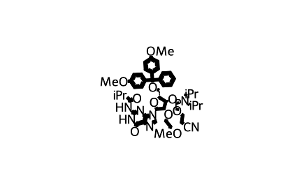 COCCO[C@@H]1[C@H](OP(OCCC#N)N(C(C)C)C(C)C)[C@@H](COC(c2ccccc2)(c2ccc(OC)cc2)c2ccc(OC)cc2)O[C@H]1n1cnc2c(=O)[nH]c(NC(=O)C(C)C)nc21